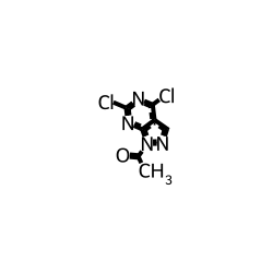 CC(=O)n1ncc2c(Cl)nc(Cl)nc21